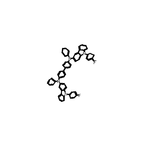 FC1=CC=C(n2c3ccccc3c3cc(N(C4=CCCC=C4)c4ccc(-c5ccc(N(c6ccccc6)c6ccc7c(c6)c6ccccc6n7-c6ccc(F)cc6)cc5)cc4)ccc32)CC1